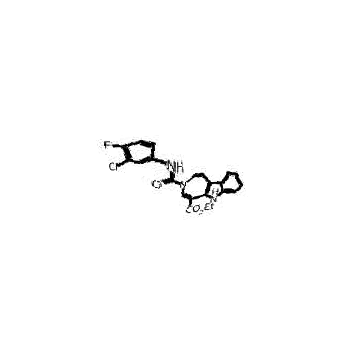 CCOC(=O)C1=CN(C(=O)Nc2ccc(F)c(Cl)c2)CCc2c1[nH]c1ccccc21